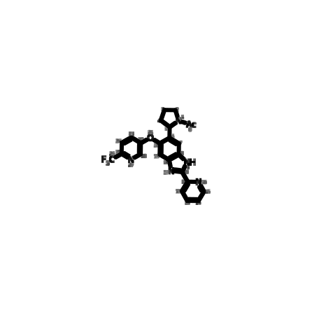 CC(=O)N1CCCC1c1cc2[nH]c(-c3ccccn3)nc2cc1Oc1ccc(C(F)(F)F)nc1